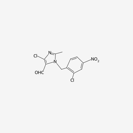 Cc1nc(Cl)c(C=O)n1Cc1ccc([N+](=O)[O-])cc1Cl